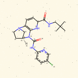 CC(C)(C)CNC(=O)C1C=CC2=C(N1)N(C(=O)Nc1ccc(F)cn1)[C@H]1CCN2C1